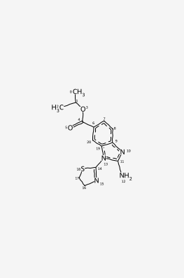 CC(C)OC(=O)c1ccc2nc(N)n(C3=NCCS3)c2c1